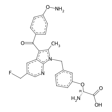 Cc1c(C(=O)c2ccc(ON)cc2)c2cc(CF)cnc2n1Cc1cccc(O[C@@H](N)C(=O)O)c1